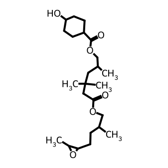 CC(CCC1OC1C)COC(=O)CC(C)(C)CC(C)COC(=O)C1CCC(O)CC1